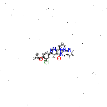 O=C(NCc1cccnc1N1CCCCC1)c1cnnc(-c2ccc(OC3CC3)c(Cl)c2)c1